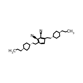 CCC[C@H]1CC[C@H](CCc2ccc(CC[C@H]3CC[C@H](CCC)CC3)c(C#N)c2C#N)CC1